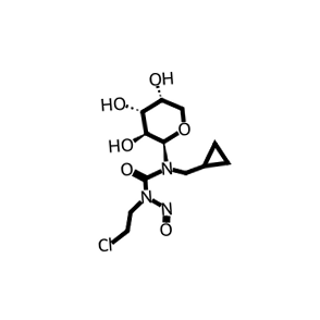 O=NN(CCCl)C(=O)N(CC1CC1)[C@@H]1OC[C@@H](O)[C@@H](O)[C@@H]1O